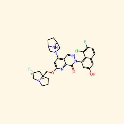 O=c1c2nc(OC[C@@]34CCCN3C[C@H](F)C4)cc(N3CC4CCC(C3)N4)c2cnn1-c1cc(O)cc2ccc(F)c(Cl)c12